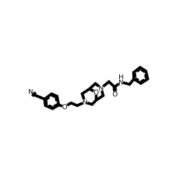 N#Cc1ccc(OCCN2CC3CN(CC(=O)NCc4ccccc4)CC(C2)O3)cc1